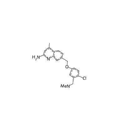 CNCc1cc(OCc2ccc3c(C)cc(N)nc3c2)ccc1Cl